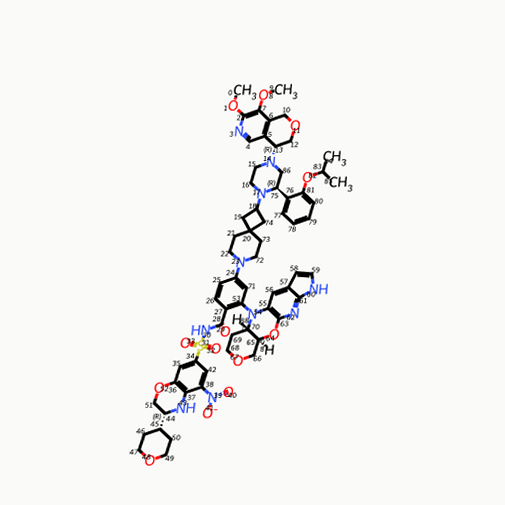 COc1ncc2c(c1OC)COC[C@@H]2N1CCN(C2CC3(CCN(c4ccc(C(=O)NS(=O)(=O)c5cc6c(c([N+](=O)[O-])c5)N[C@H](C5CCOCC5)CO6)c(N5c6cc7cc[nH]c7nc6O[C@H]6COCC[C@@H]65)c4)CC3)C2)[C@H](c2ccccc2OC(C)C)C1